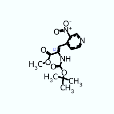 COC(=O)/C(=C/c1ccncc1[N+](=O)[O-])NC(=O)OC(C)(C)C